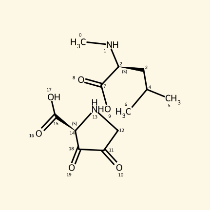 CN[C@@H](CC(C)C)C(=O)O.O=C1CN[C@H](C(=O)O)C1=O